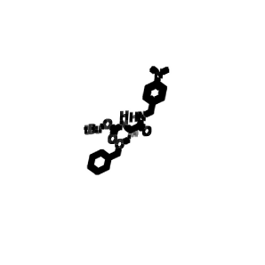 CN(C)c1ccc(CNC(=O)[C@H](COCC2CCCCC2)NC(=O)OC(C)(C)C)cc1